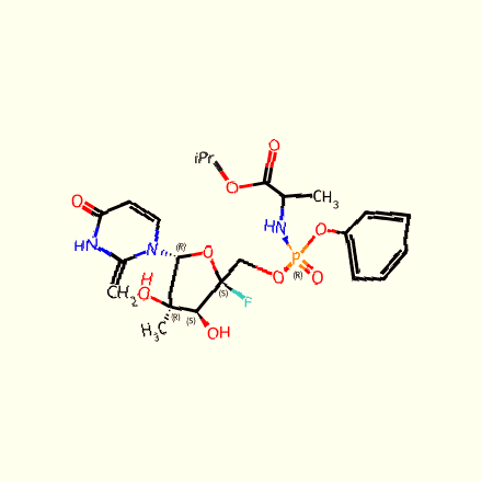 C=C1NC(=O)C=CN1[C@@H]1O[C@](F)(CO[P@](=O)(NC(C)C(=O)OC(C)C)Oc2ccccc2)[C@@H](O)[C@@]1(C)O